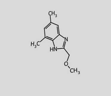 COCc1nc2cc(C)cc(C)c2[nH]1